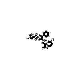 Cc1nc2ccc(Cl)cn2c1CN[C@H]1CN(S(=O)(=O)c2cn(C)cn2)C[C@@H]1c1ccccc1